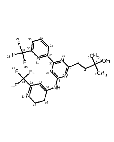 CC(C)(O)CCc1nc(NC2=CC(C(F)(F)F)=NCC2)nc(-c2cccc(C(F)(F)F)n2)n1